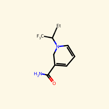 CCC(N1C=CC=C(C(N)=O)C1)C(F)(F)F